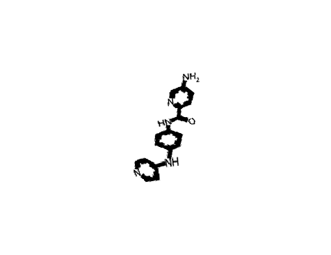 Nc1ccc(C(=O)Nc2ccc(Nc3ccncc3)cc2)nc1